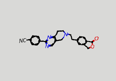 N#Cc1ccc(-c2ncc3c(n2)CCN(CCc2ccc4c(c2)COC4=O)C3)cc1